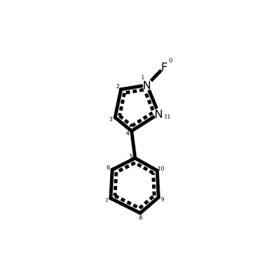 Fn1ccc(-c2ccccc2)n1